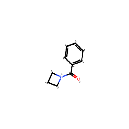 O=C(c1c[c]ccc1)N1CCC1